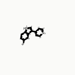 Fc1ccc2[nH][c]c(-c3ccncc3)c2c1